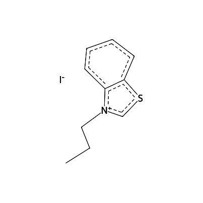 CCC[n+]1csc2ccccc21.[I-]